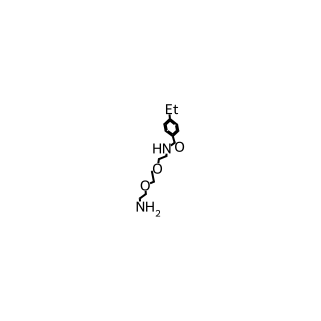 CCc1ccc(C(=O)NCCOCCOCCN)cc1